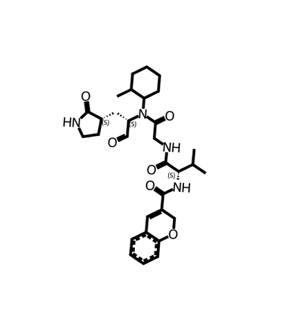 CC1CCCCC1N(C(=O)CNC(=O)[C@@H](NC(=O)C1=Cc2ccccc2OC1)C(C)C)[C@H](C=O)C[C@@H]1CCNC1=O